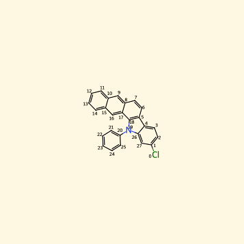 Clc1ccc2c3ccc4cc5ccccc5cc4c3n(-c3ccccc3)c2c1